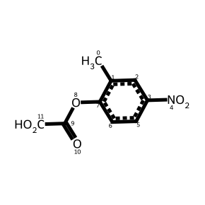 Cc1cc([N+](=O)[O-])ccc1OC(=O)C(=O)O